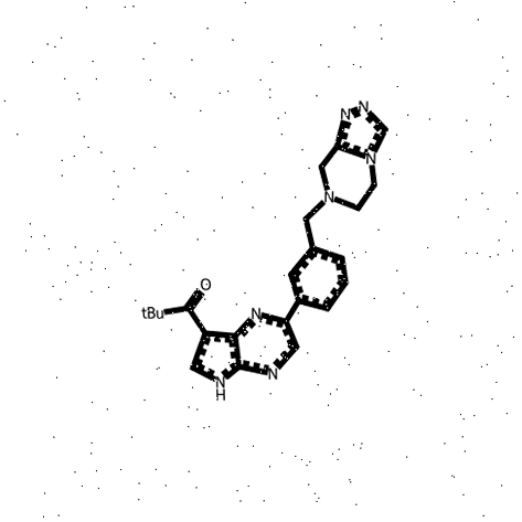 CC(C)(C)C(=O)c1c[nH]c2ncc(-c3cccc(CN4CCn5cnnc5C4)c3)nc12